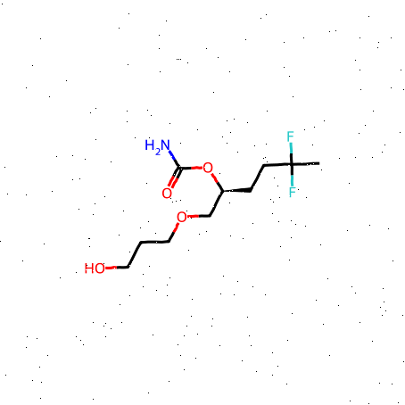 CC(F)(F)CC[C@@H](COCCCO)OC(N)=O